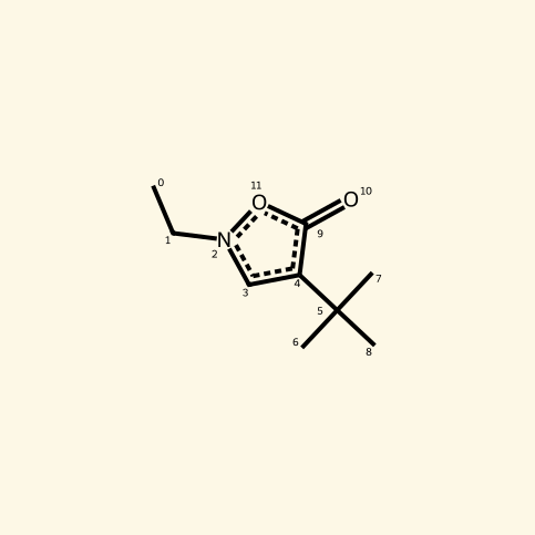 CCn1cc(C(C)(C)C)c(=O)o1